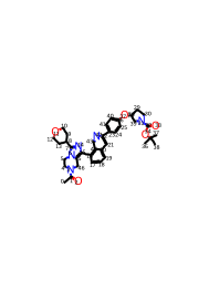 CC(=O)N1CCn2c(C3CCOCC3)nc(-c3cccc4cc(-c5ccc(O[C@@H]6CCN(C(=O)OC(C)(C)C)C6)cc5)ncc34)c2C1